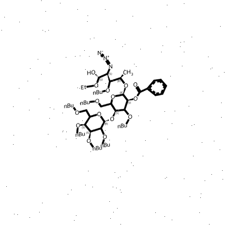 CCCCOCC1O[C@@H](O[C@H](C)C(OCCCC)[C@H](N=[N+]=[N-])[C@@H](O)OCC)[C@@H](OC(=O)c2ccccc2)C(OCCCC)[C@H]1O[C@H]1OC(COCCCC)[C@H](OCCCC)[C@H](OCCCC)C1OCCCC